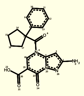 Nc1cc2n(C(=O)C3(c4ccccc4)CCCC3)cc(C(=O)O)c(=O)n2n1